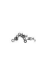 COCCc1ccccc1OCC(O)CNC(C)COc1ccc(Cl)nn1